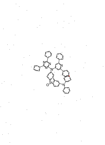 [O-][s+]1c2ccc(N(c3ccccc3)c3ccccc3)cc2c2cc(N(c3cc(-c4ccccc4)nc(-c4ccccc4)c3)c3nc(-c4ccccc4)nc(-c4ccccc4)n3)ccc21